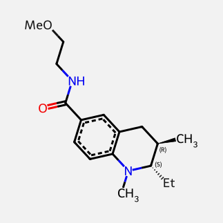 CC[C@H]1[C@H](C)Cc2cc(C(=O)NCCOC)ccc2N1C